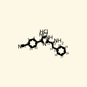 Cl.Cl.N#Cc1ccc(-c2c[nH]c([C@@H](N)Cc3ccccc3)n2)cc1